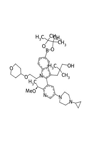 CO[C@@H](C)c1ncc(N2CCN(C3CC3)CC2)cc1-c1c(CC(C)(C)CO)c2cc(B3OC(C)(C)C(C)(C)O3)ccc2n1CCOC1CCOCC1